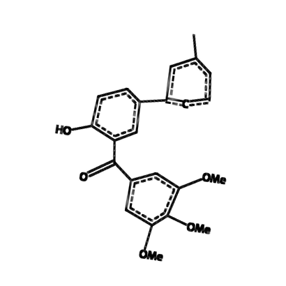 COc1cc(C(=O)c2cc(-c3cccc(C)c3)ccc2O)cc(OC)c1OC